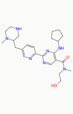 CN(CCO)C(=O)c1cnc(-c2ccc(CC3CNCCN3C)cn2)nc1NC1CCCC1